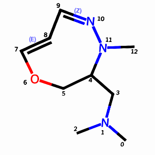 CN(C)CC1CO/C=C/C=N\N1C